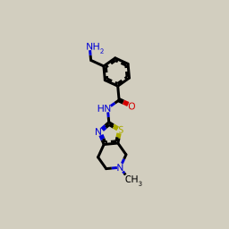 CN1CCc2nc(NC(=O)c3cccc(CN)c3)sc2C1